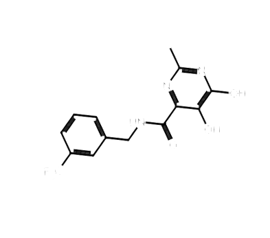 Cc1nc(O)c(O)c(C(=O)NCc2cccc(C(F)(F)F)c2)n1